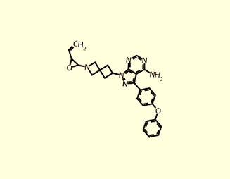 C=CC1OC1N1CC2(CC(n3nc(-c4ccc(Oc5ccccc5)cc4)c4c(N)ncnc43)C2)C1